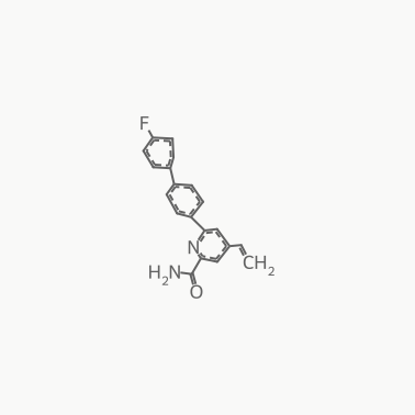 C=Cc1cc(C(N)=O)nc(-c2ccc(-c3ccc(F)cc3)cc2)c1